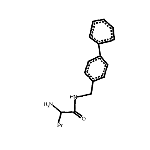 CC(C)C(N)C(=O)NCc1ccc(-c2ccccc2)cc1